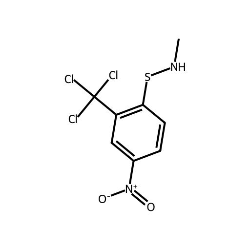 CNSc1ccc([N+](=O)[O-])cc1C(Cl)(Cl)Cl